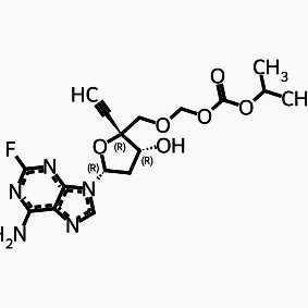 C#C[C@]1(COCOC(=O)OC(C)C)O[C@@H](n2cnc3c(N)nc(F)nc32)C[C@H]1O